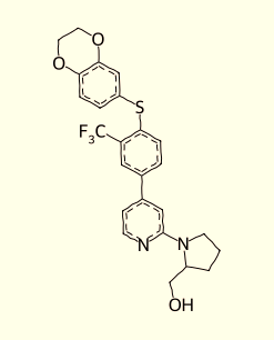 OCC1CCCN1c1cc(-c2ccc(Sc3ccc4c(c3)OCCO4)c(C(F)(F)F)c2)ccn1